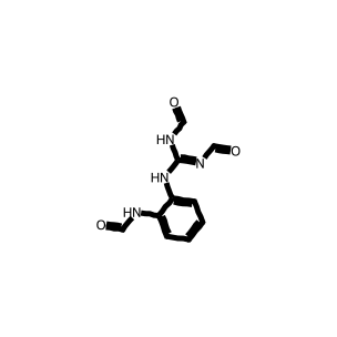 O=CN=C(NC=O)Nc1ccccc1NC=O